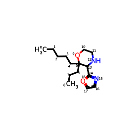 CCCCCC1(CCC)OCCNC1c1ncco1